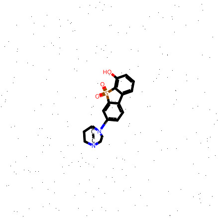 O=S1(=O)c2cc(N3CCN4CCC3CC4)ccc2-c2cccc(O)c21